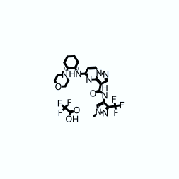 Cn1cc(NC(=O)c2cnn3ccc(N[C@@H]4CCCC[C@@H]4N4CCOCC4)nc23)c(C(F)(F)F)n1.O=C(O)C(F)(F)F